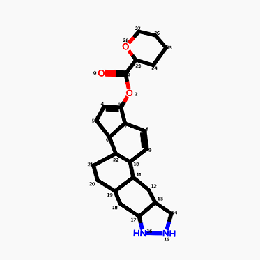 O=C(OC1=CCC2C1C=CC1C3CC4CNNC4CC3CCC12)C1CCCCO1